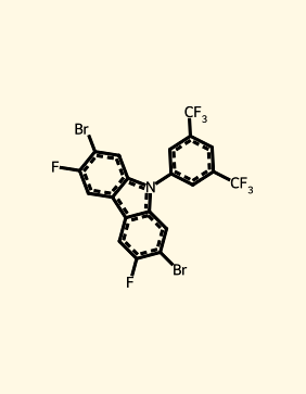 Fc1cc2c3cc(F)c(Br)cc3n(-c3cc(C(F)(F)F)cc(C(F)(F)F)c3)c2cc1Br